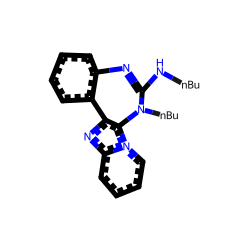 CCCCNC1=Nc2ccccc2-c2nc3ccccn3c2N1CCCC